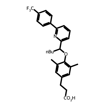 CCCCC(Oc1c(C)cc(CCC(=O)O)cc1C)c1cccc(-c2ccc(C(F)(F)F)cc2)n1